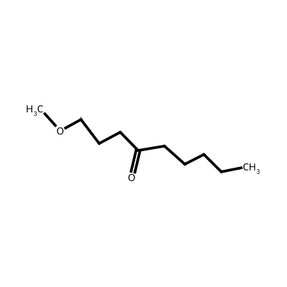 CCCCCC(=O)CC[CH]OC